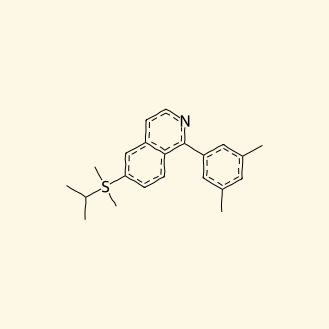 Cc1cc(C)cc(-c2nccc3cc(S(C)(C)C(C)C)ccc23)c1